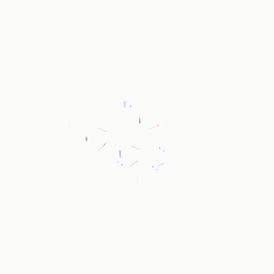 CN(/C=N\c1ccc(-c2ccc(F)c(F)c2)nc1C=O)CC(=O)C[C@@H]1CCCCN1